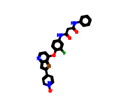 O=C(CC(=O)Nc1ccc(Oc2ccnc3cc(C4=CC[NH+]([O-])C=C4)sc23)c(F)c1)Nc1ccccc1